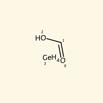 O=CO.[GeH4]